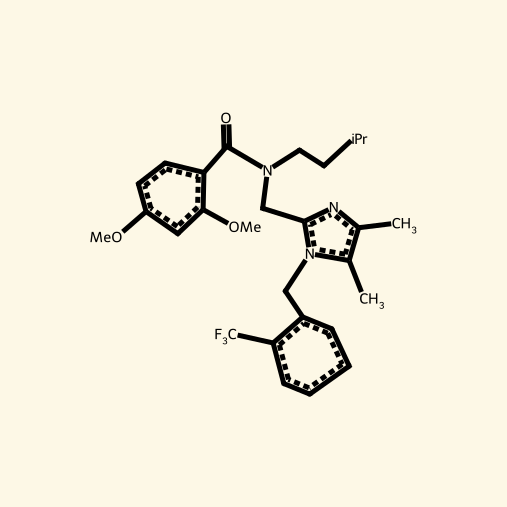 COc1ccc(C(=O)N(CCC(C)C)Cc2nc(C)c(C)n2Cc2ccccc2C(F)(F)F)c(OC)c1